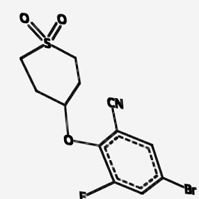 N#Cc1cc(Br)cc(F)c1OC1CCS(=O)(=O)CC1